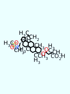 C=C(C)[C@@H]1CC[C@]2(CCN(C)S(C)(=O)=O)CCC3[C@H](CCC4[C@@]3(C)CCC3C(C)(C)[C@@H](OC(=O)CC(C)(C)C(=O)O)CC[C@@]34C)[C@@H]12